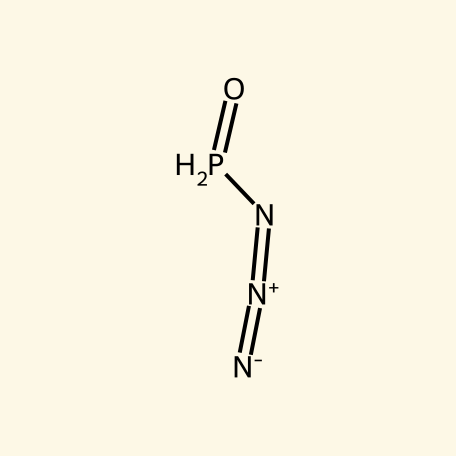 [N-]=[N+]=N[PH2]=O